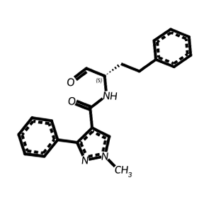 Cn1cc(C(=O)N[C@H](C=O)CCc2ccccc2)c(-c2ccccc2)n1